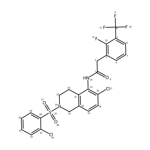 O=C(Cc1cccc(C(F)(F)F)c1F)Nc1c(Cl)ccc2c1CCN(S(=O)(=O)c1ccccc1Cl)C2